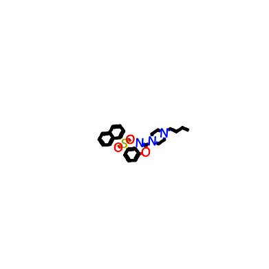 CCCCN1CCN(c2nc3c(S(=O)(=O)c4cccc5ccccc45)cccc3o2)CC1